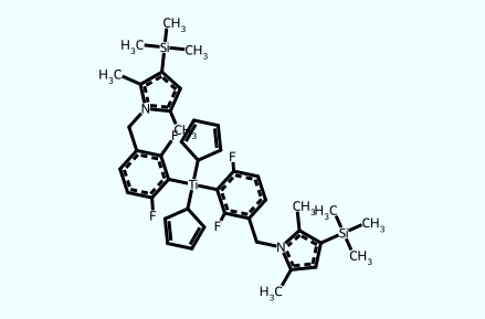 Cc1cc([Si](C)(C)C)c(C)n1Cc1ccc(F)[c]([Ti]([c]2c(F)ccc(Cn3c(C)cc([Si](C)(C)C)c3C)c2F)([CH]2C=CC=C2)[CH]2C=CC=C2)c1F